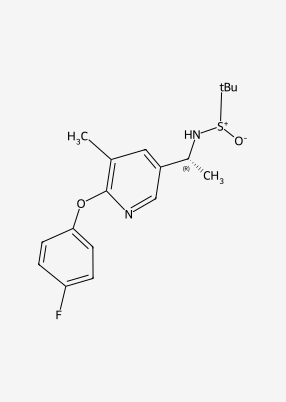 Cc1cc([C@@H](C)N[S+]([O-])C(C)(C)C)cnc1Oc1ccc(F)cc1